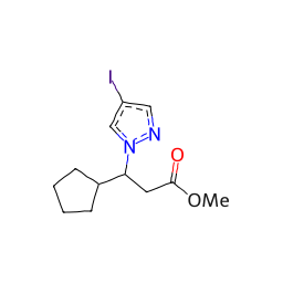 COC(=O)CC(C1CCCC1)n1cc(I)cn1